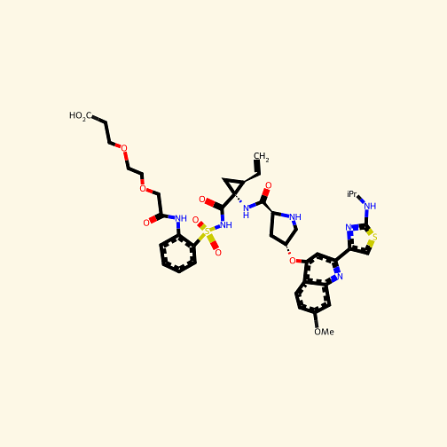 C=C[C@@H]1C[C@]1(NC(=O)[C@@H]1C[C@@H](Oc2cc(-c3csc(NC(C)C)n3)nc3cc(OC)ccc23)CN1)C(=O)NS(=O)(=O)c1ccccc1NC(=O)COCCOCCC(=O)O